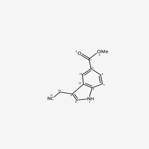 COC(=O)c1ccc2[nH]cc(CC#N)c2c1